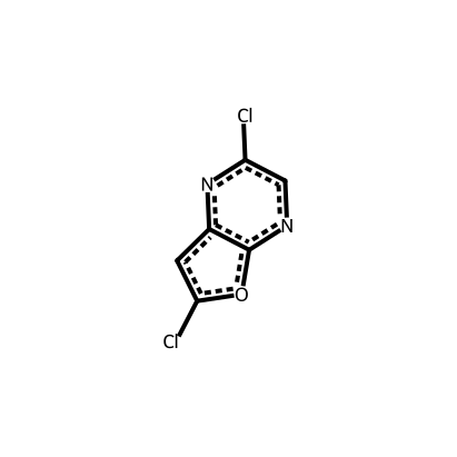 Clc1cnc2oc(Cl)cc2n1